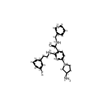 NC1CCN(c2ccc(C(=O)NCc3cccnc3)c(NCCc3cccc(F)c3)n2)C1